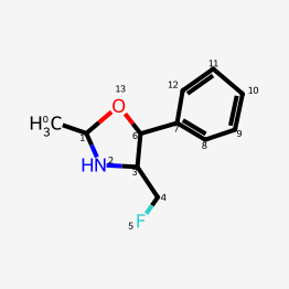 CC1NC(CF)C(c2ccccc2)O1